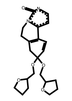 O=c1nccc2n1CCC1=C2C=CC(OCC2CCCO2)(OCC2CCCO2)C1